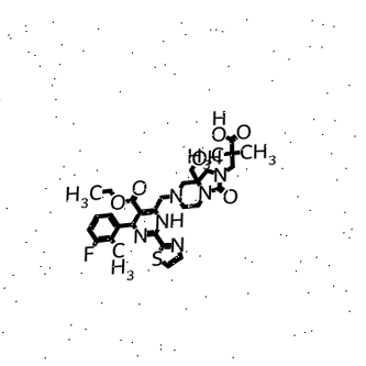 CCOC(=O)C1=C(CN2CCN3C(=O)N(CC(C)(C)C(=O)O)CC3(CO)C2)NC(c2nccs2)=NC1c1cccc(F)c1C